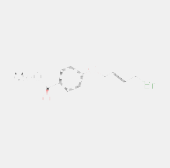 COC(=O)c1ccc(OCC=CCBr)cc1